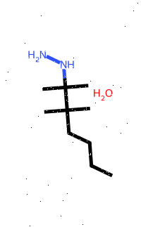 CCCCC(C)(C)C(C)(C)NN.O